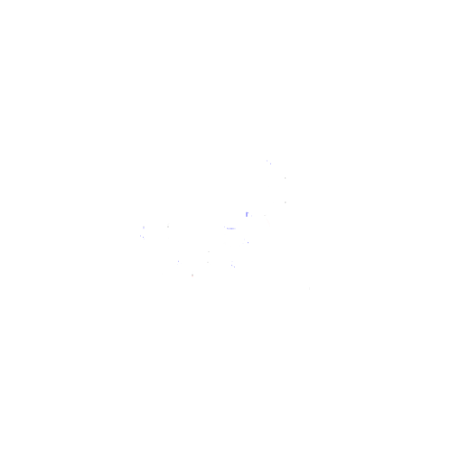 COCCCn1c(NC(=O)c2cccc(N)c2)nc2cc(C(=O)N(C)Cc3cccnc3)cnc21